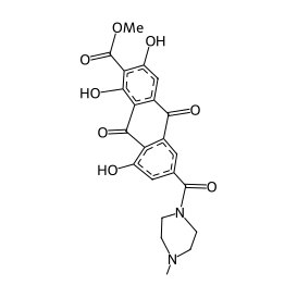 COC(=O)c1c(O)cc2c(c1O)C(=O)c1c(O)cc(C(=O)N3CCN(C)CC3)cc1C2=O